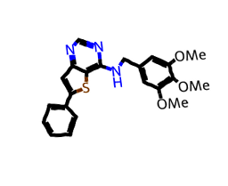 COc1cc(CNc2ncnc3cc(-c4ccccc4)sc23)cc(OC)c1OC